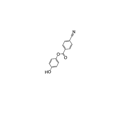 N#Cc1ccc(C(=O)Oc2ccc(O)cc2)cc1